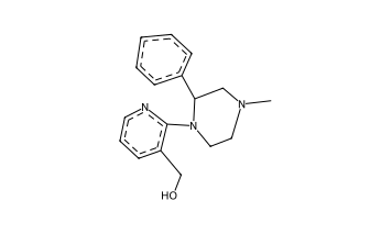 CN1CCN(c2ncccc2CO)C(c2ccccc2)C1